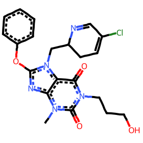 Cn1c(=O)n(CCCO)c(=O)c2c1nc(Oc1ccccc1)n2CC1CC=C(Cl)C=N1